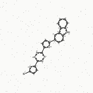 Brc1ccc(-c2nnc(-c3ccc(-c4ccc5[nH]c6ccccc6c5c4)s3)nn2)s1